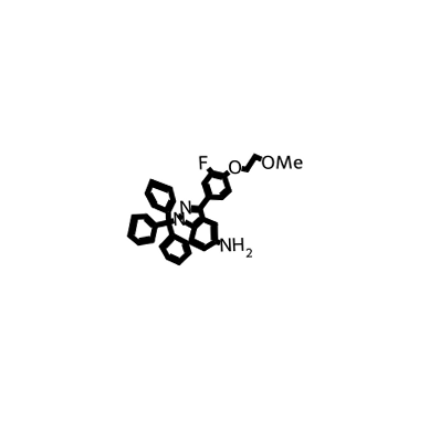 COCCOc1ccc(-c2nn(C(c3ccccc3)(c3ccccc3)c3ccccc3)c3ccc(N)cc23)cc1F